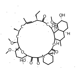 CC[C@@H]1/C=C(\C)C[C@H](C)C[C@H](OC)[C@H]2O[C@@](O)(C(=O)C(=O)N3CCCC[C@H]3C(=O)O[C@@H]3C(C)C[C@@H]4CC[C@@H](O)[C@H](OC)C4[C@@H]3[C@@H](O)CC1=O)[C@H](C)C[C@@H]2OC